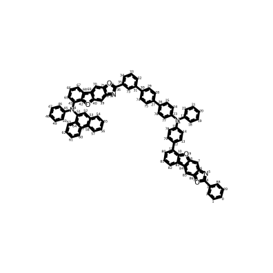 c1ccc(-c2nc3cc4oc5c(-c6ccc(N(c7ccccc7)c7ccc(-c8ccc(-c9cccc(-c%10nc%11cc%12oc%13c(N(c%14ccccc%14)c%14cc%15ccccc%15c%15ccccc%14%15)cccc%13c%12cc%11o%10)c9)cc8)cc7)cc6)cccc5c4cc3o2)cc1